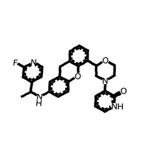 CC(Nc1ccc2c(c1)Cc1cccc(C3CN(c4ccc[nH]c4=O)CCO3)c1O2)c1ccnc(F)c1